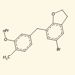 CCCOc1cc(Cc2cc(Br)cc3c2OCC3)ccc1C